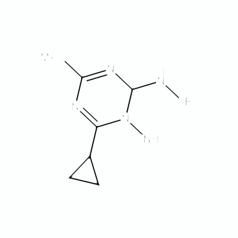 CSC1=NC(NC(C)(C)C)N(N)C(C2CC2)=N1